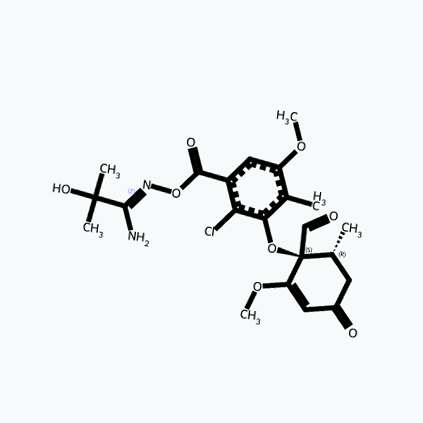 COC1=CC(=O)C[C@@H](C)[C@]1(C=O)Oc1c(C)c(OC)cc(C(=O)O/N=C(\N)C(C)(C)O)c1Cl